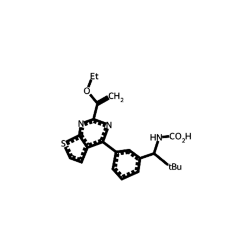 C=C(OCC)c1nc(-c2cccc(C(NC(=O)O)C(C)(C)C)c2)c2ccsc2n1